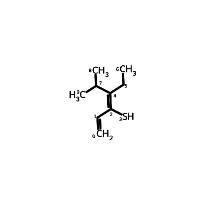 C=C/C(S)=C(/CC)C(C)C